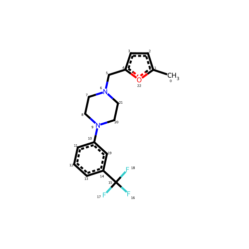 Cc1ccc(CN2CCN(c3cccc(C(F)(F)F)c3)CC2)o1